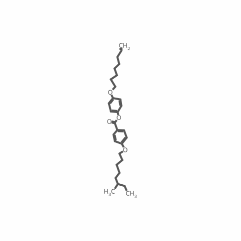 C=CCCCCCCOc1ccc(OC(=O)c2ccc(OCCCCCC(C)CC)cc2)cc1